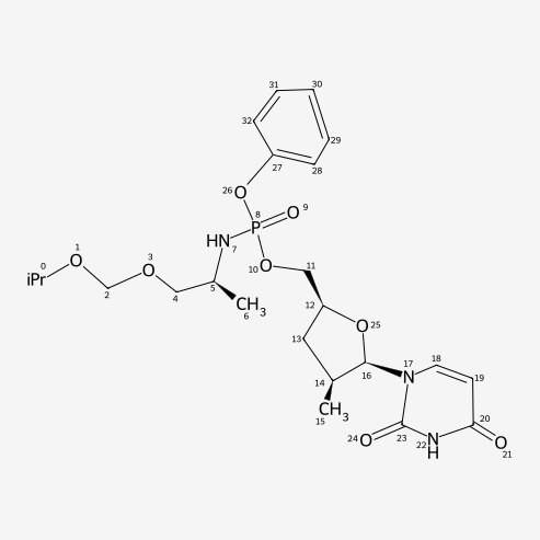 CC(C)OCOC[C@H](C)NP(=O)(OC[C@@H]1C[C@H](C)[C@H](n2ccc(=O)[nH]c2=O)O1)Oc1ccccc1